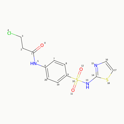 O=C(CCCl)Nc1ccc(S(=O)(=O)Nc2nccs2)cc1